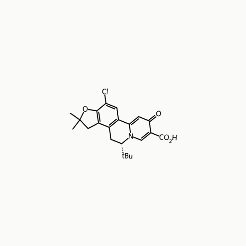 CC1(C)Cc2c3c(cc(Cl)c2O1)-c1cc(=O)c(C(=O)O)cn1[C@H](C(C)(C)C)C3